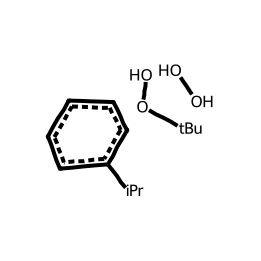 CC(C)(C)OO.CC(C)c1ccccc1.OO